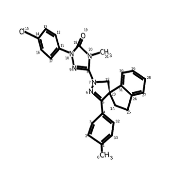 Cc1ccc(C2=NN(c3nn(-c4ccc(Cl)cc4)c(=O)n3C)C[C@@]23CCc2ccccc23)cc1